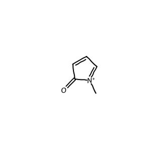 C[N+]1=CC=CC1=O